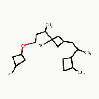 CC(C)C1CC(OCCC(C)C2(C#N)CC(CC(C)C3CCC3C)C2)C1